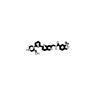 Cc1ccc(C(=O)NCc2cc3nc(-c4cccc(N5CCNC[C@@H]5CO)n4)ccc3cn2)cc1S(C)(=O)=O